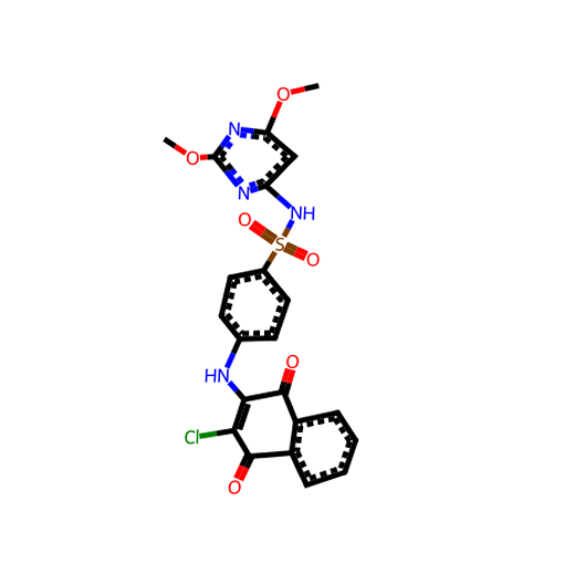 COc1cc(NS(=O)(=O)c2ccc(NC3=C(Cl)C(=O)c4ccccc4C3=O)cc2)nc(OC)n1